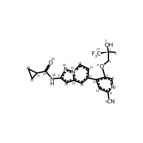 C[C@@](O)(COc1cnc(C#N)cc1-c1ccn2nc(NC(=O)C3CC3)cc2c1)C(F)(F)F